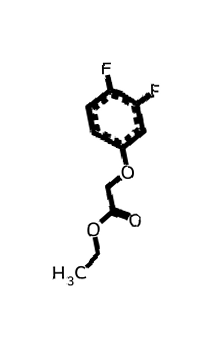 CCOC(=O)COc1ccc(F)c(F)c1